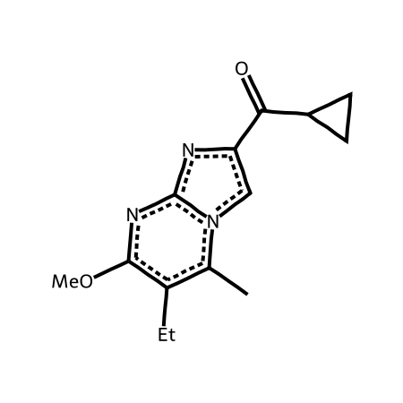 CCc1c(OC)nc2nc(C(=O)C3CC3)cn2c1C